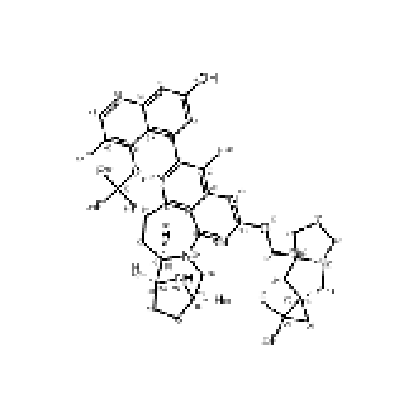 Oc1cc(-c2nc3c4c(nc(OC[C@@]56CCCN5C[C@@]5(CC5(F)F)C6)nc4c2F)N2C[C@H]4CC[C@H](N4)[C@H]2CC3)c2c(OC(F)(F)F)c(F)ccc2c1